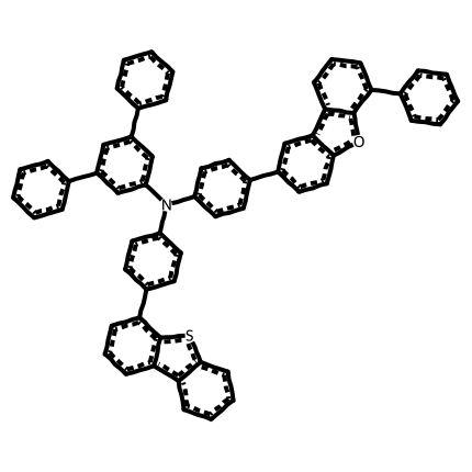 c1ccc(-c2cc(-c3ccccc3)cc(N(c3ccc(-c4ccc5oc6c(-c7ccccc7)cccc6c5c4)cc3)c3ccc(-c4cccc5c4sc4ccccc45)cc3)c2)cc1